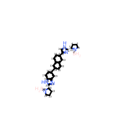 BN1CCC[C@H]1c1nc(-c2ccc3cc(-c4ccc5[nH]c([C@@H]6CCCN6B)nc5c4)ccc3c2)c[nH]1